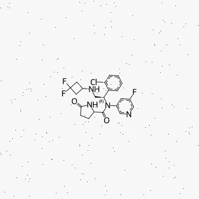 O=C1CCC(C(=O)N(c2cncc(F)c2)[C@@H](CNC2CC(F)(F)C2)c2ccccc2Cl)N1